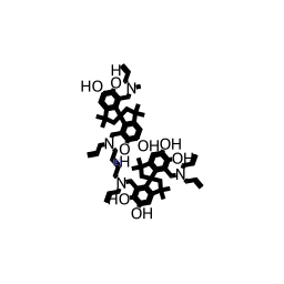 C=CCN(C)Cc1c(O)c(O)cc2c1C1(CC2(C)C)CC(C)(C)c2cc(O)c(O)c(CN(CC=C)C/C=C/CN(CC=C)Cc3c(O)c(O)cc4c3C3(CC(C)(C)c5cc(O)c(O)c(CN(CC=C)CC=C)c53)CC4(C)C)c21